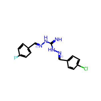 N=C(N/N=C/c1ccc(F)cc1)N/N=C/c1ccc(Cl)cc1